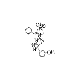 Cn1nc(-c2cccc(O)c2)c2cnc(N3CCN(S(C)(=O)=O)C[C@H]3Cc3ccccc3)nc21